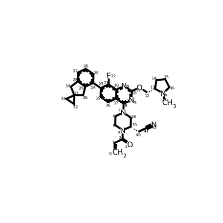 C=CC(=O)N1CCN(c2nc(OC[C@@H]3CCCN3C)nc3c(F)c(-c4cccc5c4CC4(CC4)C5)ccc23)C[C@@H]1CC#N